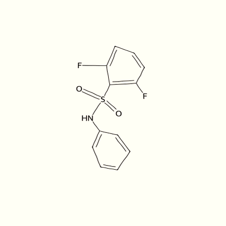 O=S(=O)(Nc1ccccc1)c1c(F)cccc1F